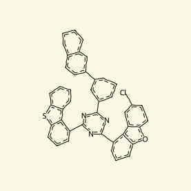 Clc1ccc2oc3cccc(-c4nc(-c5cccc(-c6ccc7ccccc7c6)c5)nc(-c5cccc6sc7ccccc7c56)n4)c3c2c1